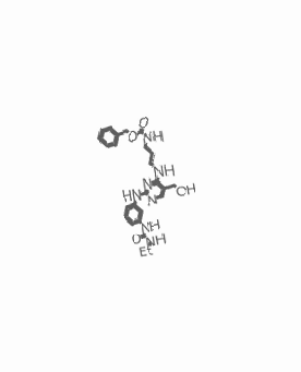 CCNC(=O)Nc1cccc(Nc2ncc(CO)c(NCCCNC(=O)OCc3ccccc3)n2)c1